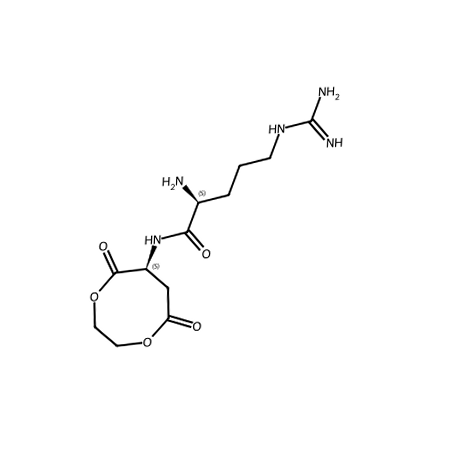 N=C(N)NCCC[C@H](N)C(=O)N[C@H]1CC(=O)OCCOC1=O